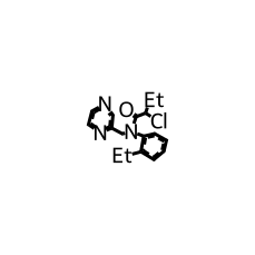 CCc1ccccc1N(Cc1cnccn1)C(=O)C(Cl)CC